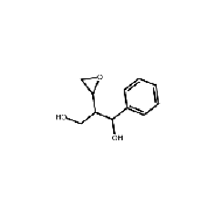 OCC(C1CO1)C(O)c1ccccc1